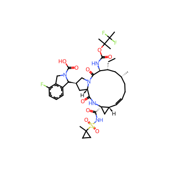 CC[C@@H]1C[C@H](C)CC/C=C\[C@@H]2C[C@@]2(C(=O)NS(=O)(=O)C2(C)CC2)NC(=O)[C@@H]2C[C@@H](C3c4cccc(F)c4CN3C(=O)O)CN2C(=O)[C@H]1NC(=O)OC(C)(C)C(C)(F)F